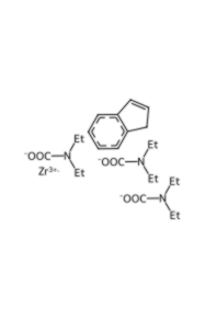 C1=Cc2ccccc2C1.CCN(CC)C(=O)[O-].CCN(CC)C(=O)[O-].CCN(CC)C(=O)[O-].[Zr+3]